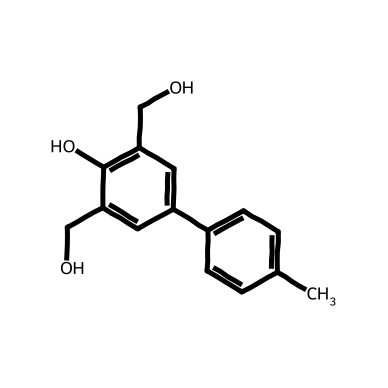 Cc1ccc(-c2cc(CO)c(O)c(CO)c2)cc1